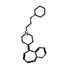 C1=CCC23C=CC=CC2=CC=CC(=C2CCN(CCCC4CCCCC4)CC2)C3=C1